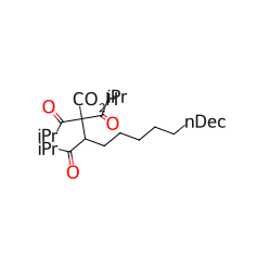 CCCCCCCCCCCCCCCC(C(=O)C(C)C)C(C(=O)O)(C(=O)C(C)C)C(=O)C(C)C